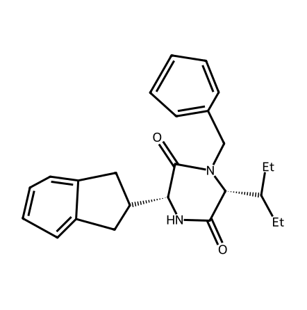 CCC(CC)[C@@H]1C(=O)N[C@H](C2Cc3ccccc3C2)C(=O)N1Cc1ccccc1